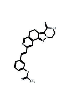 O=C1NCCn2nc3c(c21)CCc1cnc(/C=C/c2cccc(OC(=O)C(F)(F)F)c2)cc1-3